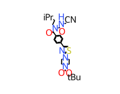 CC(C)CCN(C(=O)NCC#N)C(=O)c1ccc(-c2csc(N3CCN(C(=O)OC(C)(C)C)CC3)n2)cc1